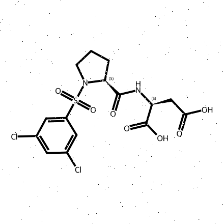 O=C(O)C[C@H](NC(=O)[C@@H]1CCCN1S(=O)(=O)c1cc(Cl)cc(Cl)c1)C(=O)O